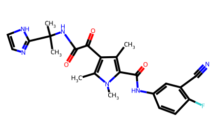 Cc1c(C(=O)C(=O)NC(C)(C)c2ncc[nH]2)c(C)n(C)c1C(=O)Nc1ccc(F)c(C#N)c1